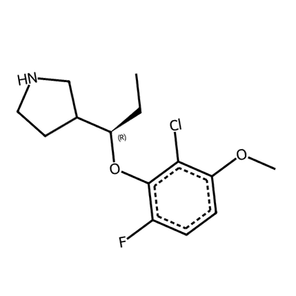 CC[C@@H](Oc1c(F)ccc(OC)c1Cl)C1CCNC1